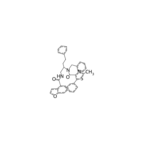 Cc1nc(C(=O)N(Cc2ccccc2)C(CCc2ccccc2)CNC(=O)c2cccc3occc23)c(-c2ccccc2)s1